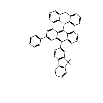 CC1(C)C2=C(CCC=C2)c2ccc(-c3c4ccccc4c(N4c5ccccc5Cc5ccccc54)c4ccc(-c5ccccc5)cc34)cc21